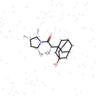 C[C@H]1C[C@@H](C#N)N(C(=O)[C@@H](N)C23CC4CC(CC(O)(C4)C2)C3)[C@H]1C